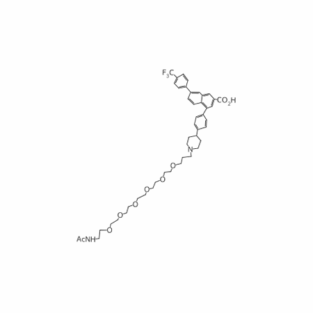 CC(=O)NCCOCCOCCOCCOCCOCCOCCCN1CCC(c2ccc(-c3cc(C(=O)O)cc4cc(-c5ccc(C(F)(F)F)cc5)ccc34)cc2)CC1